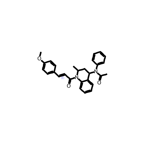 COc1ccc(/C=C/C(=O)N2c3ccccc3C(N(C(C)=O)c3ccccc3)CC2C)cc1